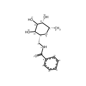 C[C@@H]1O[C@H](CNC(=O)c2ccccc2)C(O)C(O)[C@@H]1O